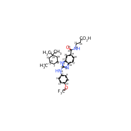 C[C@H]1C[C@@H](n2c(Nc3ccc(OC(F)(F)F)cc3)nc3ccc(C(=O)NCCC(=O)O)cc32)CC(C)(C)C1